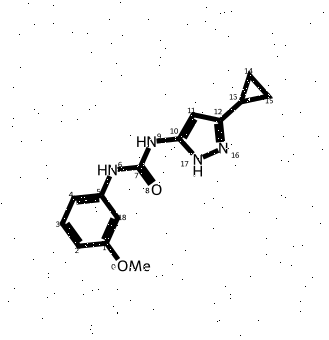 COc1cccc(NC(=O)Nc2cc(C3CC3)n[nH]2)c1